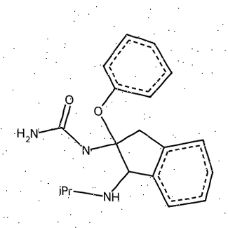 CC(C)NC1c2ccccc2CC1([N]C(N)=O)Oc1ccccc1